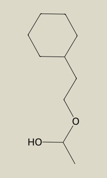 CC(O)OCCC1CCCCC1